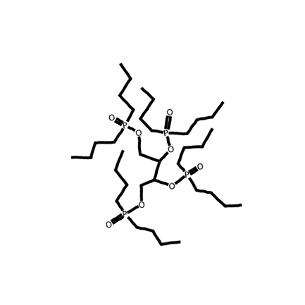 CCCCP(=O)(CCCC)OCC(OP(=O)(CCCC)CCCC)C(COP(=O)(CCCC)CCCC)OP(=O)(CCCC)CCCC